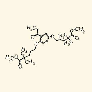 CCC(=O)c1cc(OCCCC(C)(C)C(=O)OC)ccc1OCCCC(C)(C)C(=O)OC